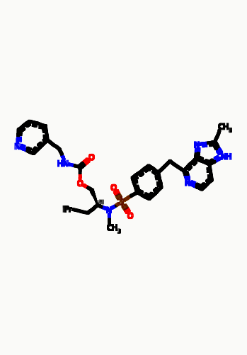 Cc1nc2c(Cc3ccc(S(=O)(=O)N(C)[C@H](COC(=O)NCc4cccnc4)CC(C)C)cc3)nccc2[nH]1